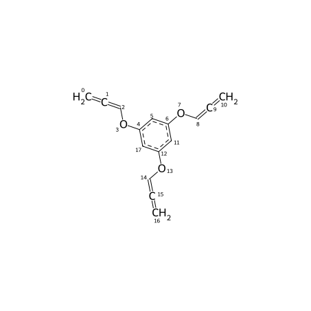 C=C=COc1cc(OC=C=C)cc(OC=C=C)c1